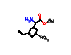 C=Cc1cc(C(N)C(=O)OC(C)(C)C)cc([N+](=O)[O-])c1